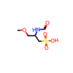 COCC(CS(=O)(=O)O)NC=O